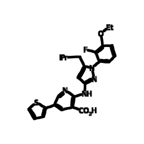 CCOc1cccc(-n2nc(Nc3ncc(-c4cccs4)cc3C(=O)O)cc2CC(C)C)c1F